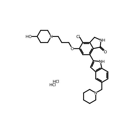 Cl.Cl.O=C1NCc2c(Cl)c(OCCCN3CCC(O)CC3)cc(-c3cc4cc(CN5CCCCC5)ccc4[nH]3)c21